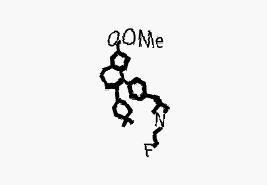 COC(=O)c1ccc2c(c1)CCCC(C1CCC(C)(C)CC1)=C2c1ccc(C=C2CN(CCCF)C2)cc1